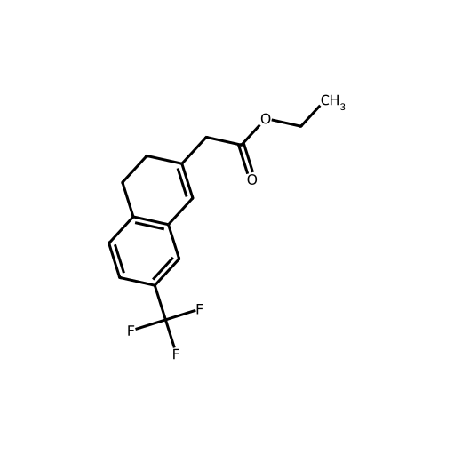 CCOC(=O)CC1=Cc2cc(C(F)(F)F)ccc2CC1